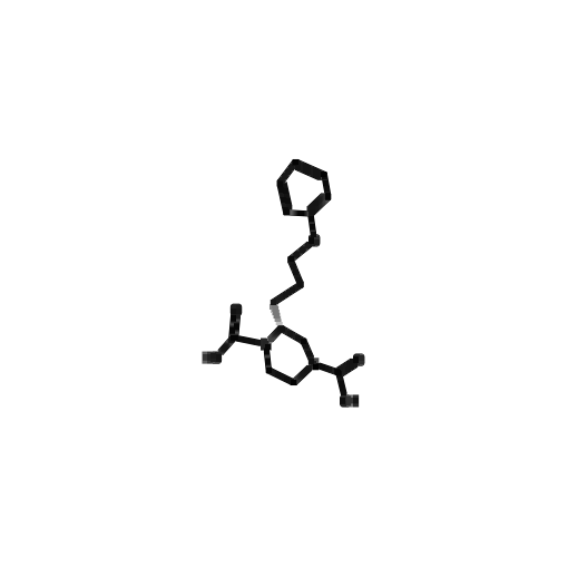 O=C(O)N1CCN(C(=O)O)[C@H](CCCOc2ccccc2)C1